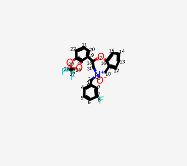 [O-][N+]1(Cc2cccc(F)c2)Cc2ccccc2OC(c2cccc3c2OC(F)(F)O3)C1